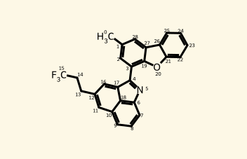 Cc1cc(C2=Nc3cccc4cc(CCC(F)(F)F)cc2c34)c2oc3ccccc3c2c1